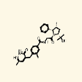 CC(=N)/C=C(/Cc1ccc(C(=O)NCC(=O)N2[C@H](c3ccccc3)[C@H](C)C[C@@H]2C(C)(C)O)cc1C)C(N)=O